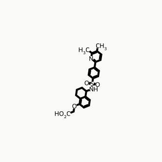 Cc1ccc(-c2ccc(S(=O)(=O)NC3CCCc4c(OCC(=O)O)cccc43)cc2)nc1C